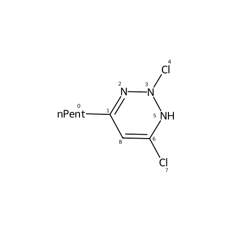 CCCCCC1=NN(Cl)NC(Cl)=C1